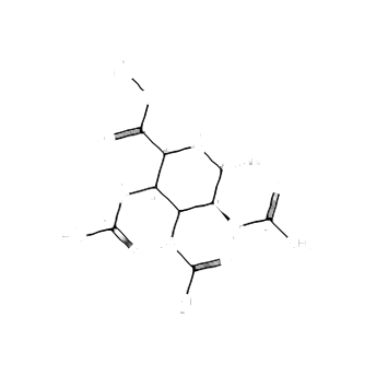 COC(=O)C1O[C@H](Br)[C@@H](OC(C)=O)C(OC(C)=O)C1OC(C)=O